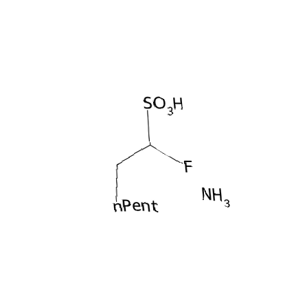 CCCCCCC(F)S(=O)(=O)O.N